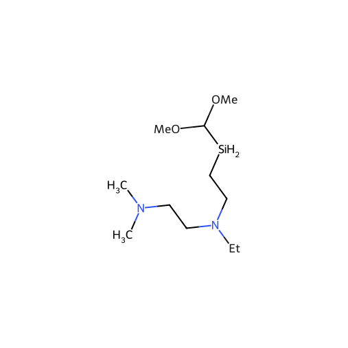 CCN(CC[SiH2]C(OC)OC)CCN(C)C